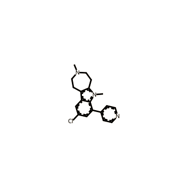 CN1CCc2c(n(C)c3c(-c4ccncc4)cc(Cl)cc23)CC1